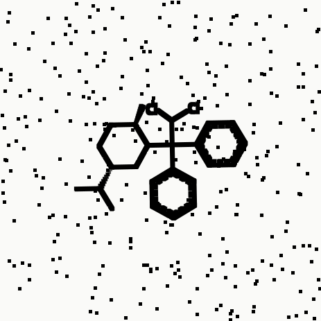 CC(C)[C@@H]1CC[C@@H](C)C(C(c2ccccc2)(c2ccccc2)C(Cl)Cl)C1